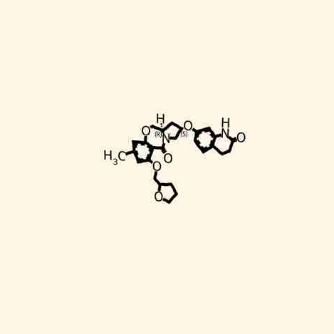 Cc1cc(OCC2CCCO2)c2c(c1)OC[C@H]1C[C@H](Oc3ccc4c(c3)NC(=O)CC4)CN1C2=O